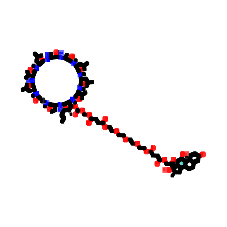 C/C=C/C[C@@H](C)C(OC(=O)OCOC(=O)CCC(=O)OCCOCCOCCOCCOC(=O)CCC(=O)OCC(=O)[C@@]1(O)[C@H](C)CC2C3CCC4=CC(=O)C=C[C@]4(C)[C@@]3(F)[C@@H](O)C[C@@]21C)C1C(=O)NC(CC)C(=O)N(C)CC(=O)N(C)[C@@H](CC(C)C)C(=O)NC(C(C)C)C(=O)N(C)C(CC(C)C)C(=O)NC(C)C(=O)NC(C)C(=O)N(C)C(CC(C)C)C(=O)N(C)C(CC(C)C)C(=O)N(C)C(C(C)C)C(=O)N1C